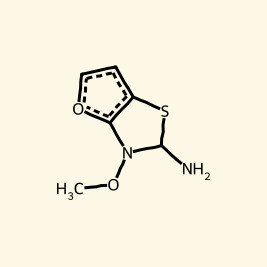 CON1c2occc2SC1N